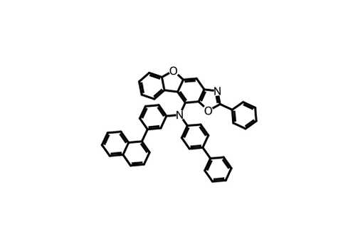 c1ccc(-c2ccc(N(c3cccc(-c4cccc5ccccc45)c3)c3c4oc(-c5ccccc5)nc4cc4oc5ccccc5c34)cc2)cc1